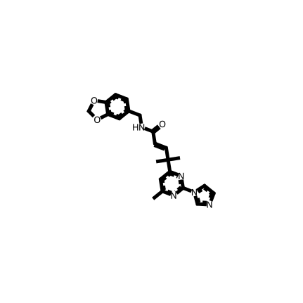 Cc1cc(C(C)(C)C=CC(=O)NCc2ccc3c(c2)OCO3)nc(-n2ccnc2)n1